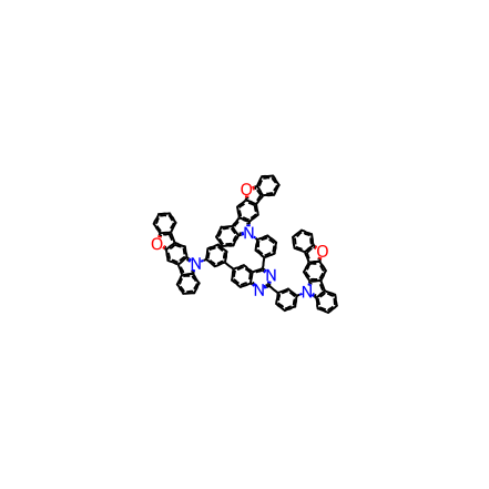 c1cc(-c2ccc3nc(-c4cccc(-n5c6ccccc6c6cc7oc8ccccc8c7cc65)c4)nc(-c4cccc(-n5c6ccccc6c6cc7oc8ccccc8c7cc65)c4)c3c2)cc(-n2c3ccccc3c3cc4oc5ccccc5c4cc32)c1